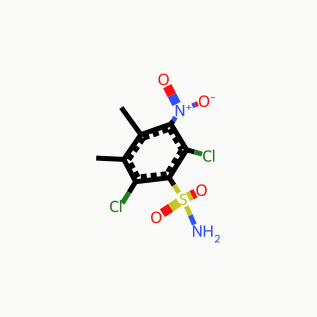 Cc1c(C)c([N+](=O)[O-])c(Cl)c(S(N)(=O)=O)c1Cl